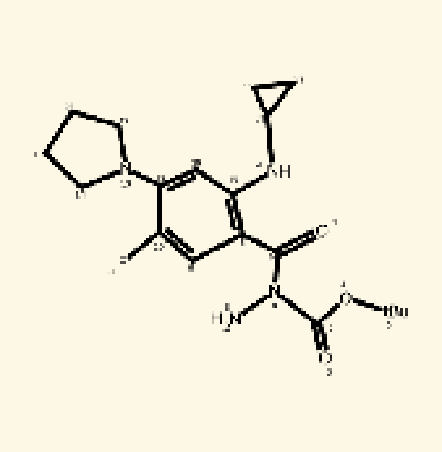 CC(C)(C)OC(=O)N(N)C(=O)c1cc(F)c(N2CCCC2)cc1NC1CC1